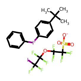 CC(C)(C)c1ccc([I+]c2ccccc2)cc1.O=S(=O)([O-])C(F)(F)C(F)(F)OC(F)(F)C(F)(F)I